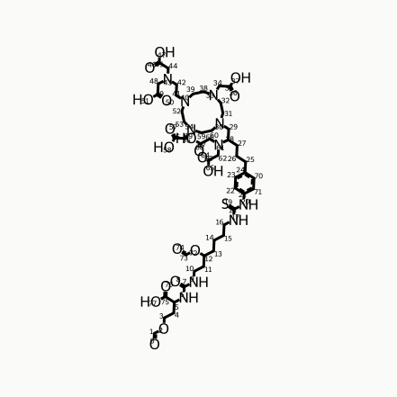 O=COCCC(NC(=O)NCCC(CCCCNC(=S)Nc1ccc(CCCC(CN2CCN(CC(=O)O)CCN(CCN(CC(=O)O)CC(=O)O)CCN(CC(=O)O)CC2)N(CC(=O)O)CC(=O)O)cc1)OC=O)C(=O)O